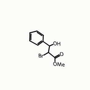 COC(=O)C(Br)C(O)c1ccccc1